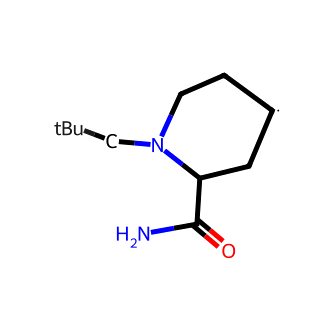 CC(C)(C)CN1CC[CH]CC1C(N)=O